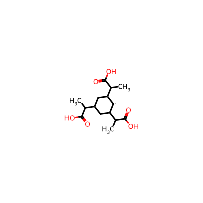 CC(C(=O)O)C1[CH]C(C(C)C(=O)O)CC(C(C)C(=O)O)C1